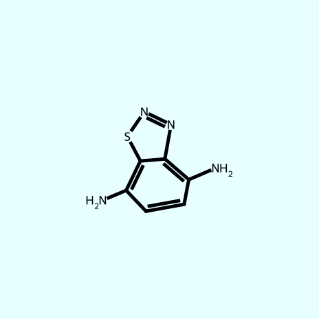 Nc1ccc(N)c2snnc12